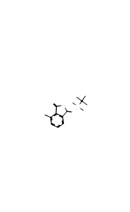 CC(C)(C)[Si](C)(C)OC1NC(=O)c2c(Cl)cccc21